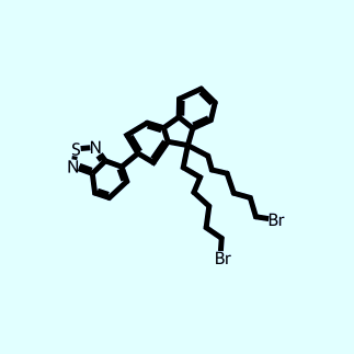 BrCCCCCCC1(CCCCCCBr)c2ccccc2-c2ccc(-c3cccc4nsnc34)cc21